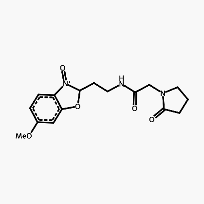 COc1ccc2c(c1)OC(CCNC(=O)CN1CCCC1=O)[N+]2=O